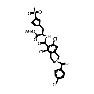 COC(=O)C(CC1C=CC(S(C)(=O)=O)=C1)NC(=O)c1c(Cl)cc2c(c1Cl)CCN(C(=O)c1ccc(Cl)cc1)C2